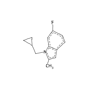 Cc1cc2ccc(F)cc2n1CC1CC1